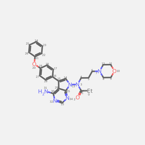 CCC(=O)N(CCCN1CCOCC1)n1cc(-c2ccc(Oc3ccccc3)cc2)c2c(N)ncnc21